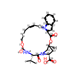 CC(C)[C@@H]1NC(=O)OCCCC=CCn2c(cc3ccccc32)C(=O)O[C@@H]2C[C@@H](C(=O)O)N(C2)C1=O